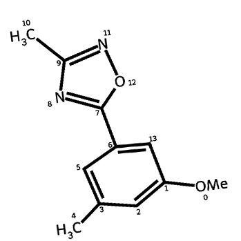 COc1cc(C)cc(-c2nc(C)no2)c1